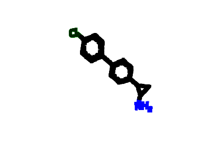 NC1CC1c1ccc(-c2ccc(Cl)cc2)cc1